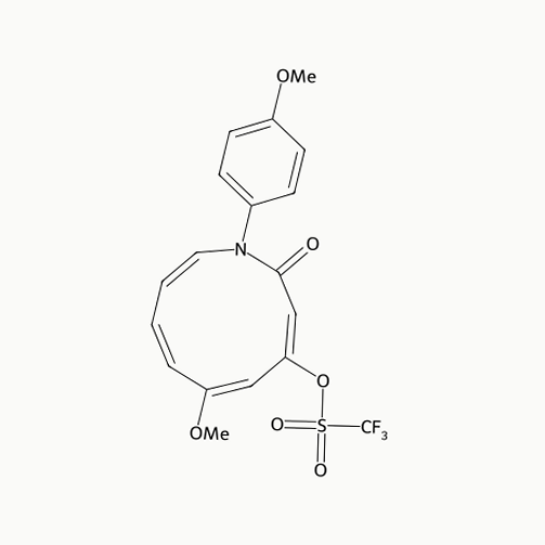 COc1ccc(-n2ccccc(OC)cc(OS(=O)(=O)C(F)(F)F)cc2=O)cc1